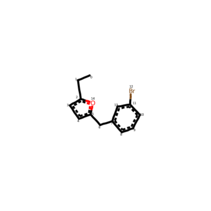 CCc1ccc(Cc2cccc(Br)c2)o1